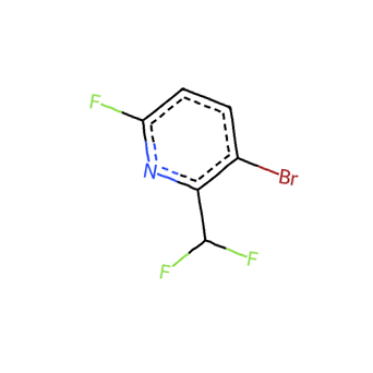 Fc1ccc(Br)c(C(F)F)n1